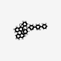 c1ccc(-c2ccc(-c3ccc(N(c4ccccc4)c4cccc5oc6c7ccccc7c(-c7cccc8ccccc78)cc6c45)cc3)cc2)cc1